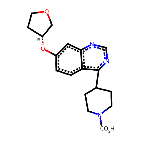 O=C(O)N1CCC(c2ncnc3cc(O[C@@H]4CCOC4)ccc23)CC1